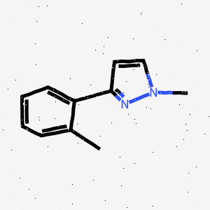 Cc1ccccc1-c1ccn(C)n1